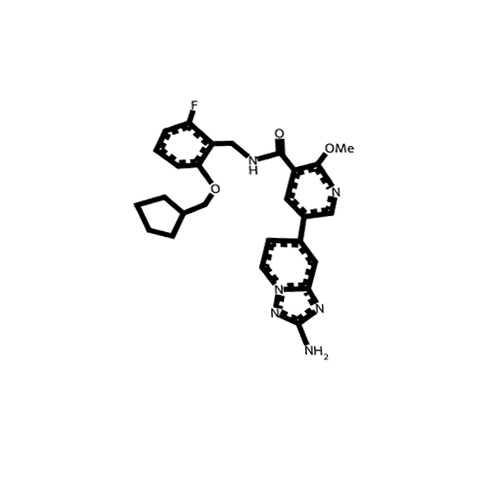 COc1ncc(-c2ccn3nc(N)nc3c2)cc1C(=O)NCc1c(F)cccc1OCC1CCCC1